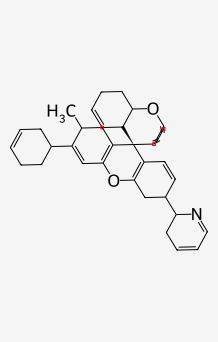 CC1CC2=C(C=C1C1CC=CCC1)OC1=C(C=CC(C3CC=CC=N3)C1)[C@@]21C2=CCCC=C2OC2CCC=CC21